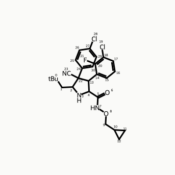 CC(C)(C)CC1NC(C(=O)NOCC2CC2)C(c2cccc(Cl)c2F)C1(C#N)c1ccc(Cl)cc1